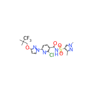 Cc1nn(C)cc1S(=O)(=O)NC(=O)c1ccc(-n2ccc(OCC(C)(C)C(F)(F)F)n2)nc1Cl